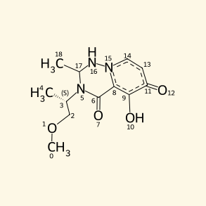 COC[C@H](C)N1C(=O)c2c(O)c(=O)ccn2NC1C